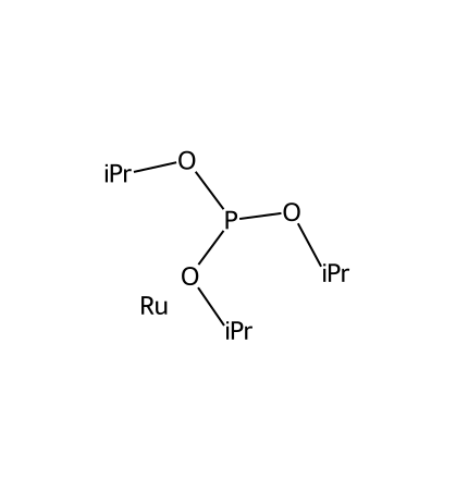 CC(C)OP(OC(C)C)OC(C)C.[Ru]